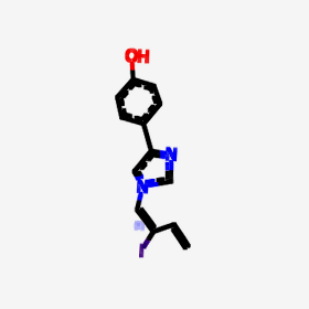 C=C/C(I)=C\n1cnc(-c2ccc(O)cc2)c1